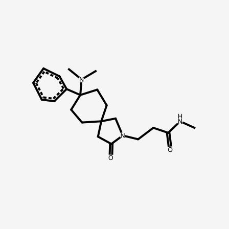 CNC(=O)CCN1CC2(CCC(c3ccccc3)(N(C)C)CC2)CC1=O